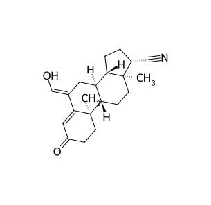 C[C@]12CC[C@H]3[C@@H](CC(=CO)C4=CC(=O)CC[C@@]43C)[C@@H]1CC[C@@H]2C#N